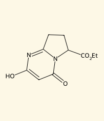 CCOC(=O)C1CCc2nc(O)cc(=O)n21